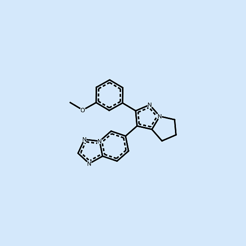 COc1cccc(-c2nn3c(c2-c2ccc4ncnn4c2)CCC3)c1